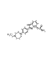 CCN1CCCN(c2ccc(-c3nc4c(OC(N)=O)cccc4[nH]3)cc2)CC1